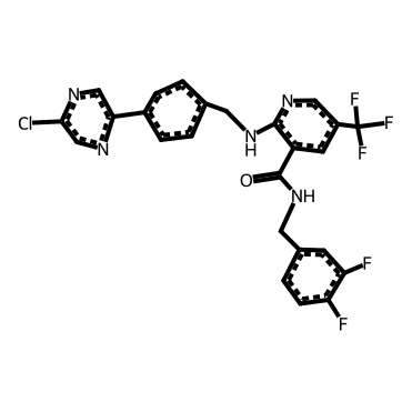 O=C(NCc1ccc(F)c(F)c1)c1cc(C(F)(F)F)cnc1NCc1ccc(-c2cnc(Cl)cn2)cc1